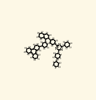 c1ccc(-c2ccc(-c3nc(-c4ccccc4)nc(-c4ccc(-c5ccc6ccccc6c5-c5cccc(-c6ccc7c8ccccc8c8ccccc8c7c6)c5)cc4)n3)cc2)cc1